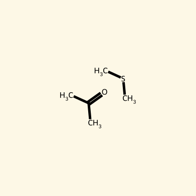 CC(C)=O.CSC